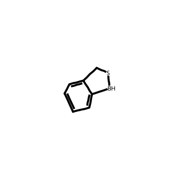 B1SCc2ccccc21